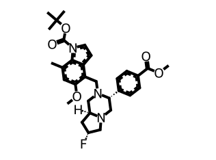 COC(=O)c1ccc([C@@H]2CN3C[C@H](F)C[C@H]3CN2Cc2c(OC)cc(C)c3c2ccn3C(=O)OC(C)(C)C)cc1